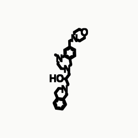 CN1CCN(CC(O)CN2CCc3ccccc3C2)Cc2ccc(CN3CCOCC3)cc21